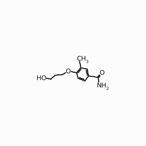 Cc1cc(C(N)=O)ccc1OCCCO